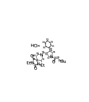 CCN1C(=O)N(CC)C2(CCN(CC3CN(C(=O)CC(C)(C)C)CC3c3ccccc3)CC2)C1=O.Cl